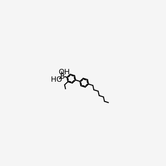 CCCCCCCc1ccc(-c2ccc(B(O)O)c(CC)c2)cc1